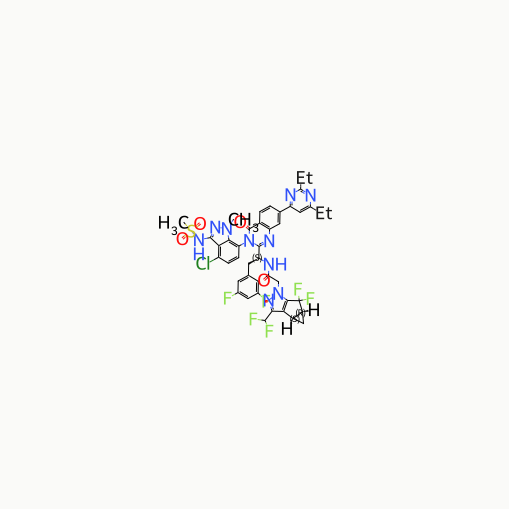 CCc1cc(-c2ccc3c(=O)n(-c4ccc(Cl)c5c(NS(C)(=O)=O)nn(C)c45)c([C@H](Cc4cc(F)cc(F)c4)NC(=O)Cn4nc(C(F)F)c5c4C(F)(F)[C@@H]4C[C@H]54)nc3c2)nc(CC)n1